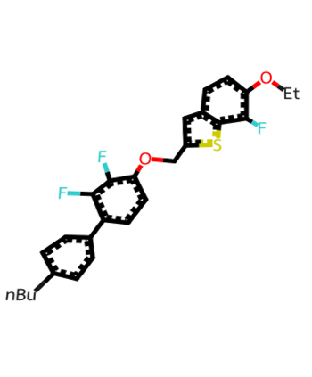 CCCCc1ccc(-c2ccc(OCc3cc4ccc(OCC)c(F)c4s3)c(F)c2F)cc1